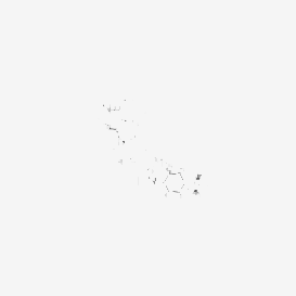 CS(=O)(=O)c1ccc(NC(=O)CC2CCN(C(=O)C3CCCC[C@@H]3N)CC2)c(F)c1